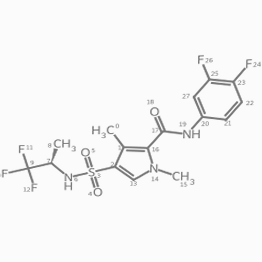 Cc1c(S(=O)(=O)N[C@H](C)C(F)(F)F)cn(C)c1C(=O)Nc1ccc(F)c(F)c1